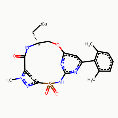 Cc1cccc(C)c1-c1cc2nc(n1)NS(=O)(=O)c1cc(n(C)n1)C(=O)N[C@H](CC(C)(C)C)CO2